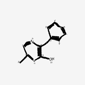 Cc1cnc(-c2ccccc2)c(O)n1